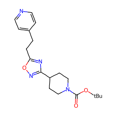 CC(C)(C)OC(=O)N1CCC(c2noc(CCc3ccncc3)n2)CC1